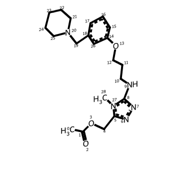 CC(=O)OCc1nnc(NCCCOc2cccc(CN3CCCCC3)c2)n1C